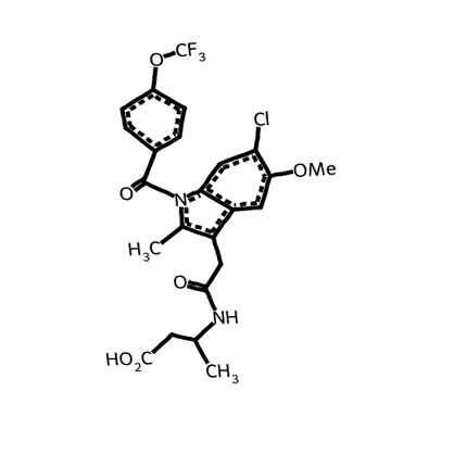 COc1cc2c(CC(=O)NC(C)CC(=O)O)c(C)n(C(=O)c3ccc(OC(F)(F)F)cc3)c2cc1Cl